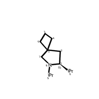 CC(C)[C@@H]1CC2(CCC2)CN1C(C)C